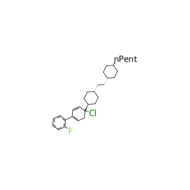 CCCCC[C@H]1CC[C@H](CC[C@H]2CC[C@H](C3(Cl)C=CC(c4ccccc4F)=CC3)CC2)CC1